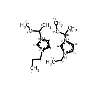 CCCn1cc[n+](C(C)OC)c1.CCn1cc[n+](C(C)OC)c1